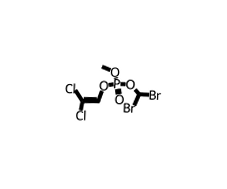 COP(=O)(OC=C(Cl)Cl)OC(Br)Br